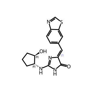 O=C1NC(N[C@@H]2CCC[C@H]2O)=N/C1=C\c1ccc2ncsc2c1